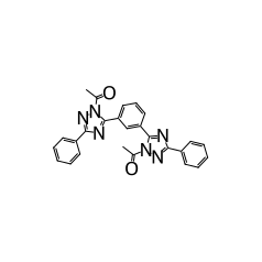 CC(=O)n1nc(-c2ccccc2)nc1-c1cccc(-c2nc(-c3ccccc3)nn2C(C)=O)c1